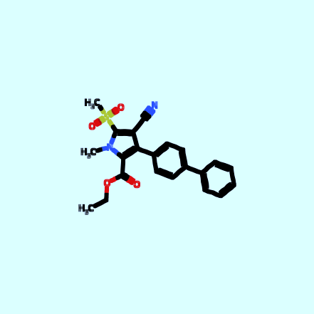 CCOC(=O)c1c(-c2ccc(-c3ccccc3)cc2)c(C#N)c(S(C)(=O)=O)n1C